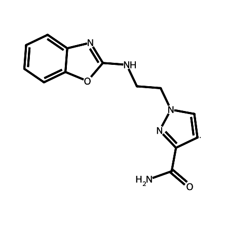 NC(=O)c1[c]cn(CCNc2nc3ccccc3o2)n1